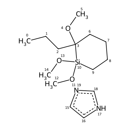 CCCC1(OC)CCCC[Si]1(OC)OC.c1c[nH]cn1